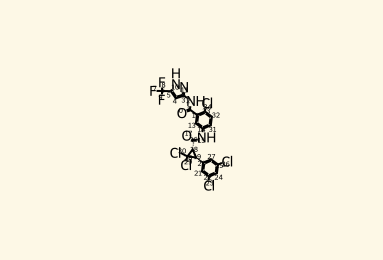 O=C(Nc1cc(C(F)(F)F)[nH]n1)c1cc(NC(=O)[C@@H]2[C@@H](c3cc(Cl)cc(Cl)c3)C2(Cl)Cl)ccc1Cl